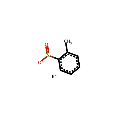 Cc1ccccc1S(=O)[O-].[K+]